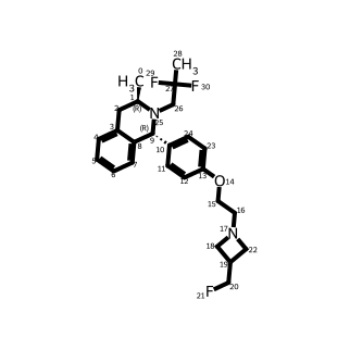 C[C@@H]1Cc2ccccc2[C@@H](c2ccc(OCCN3CC(CF)C3)cc2)N1CC(C)(F)F